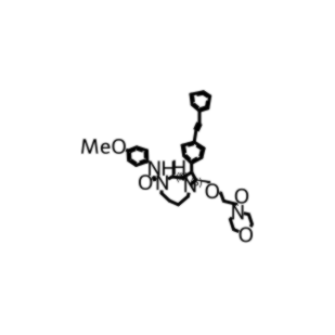 COc1ccc(NC(=O)N2CCCCN3[C@H](COCCC(=O)N4CCOCC4)C(c4ccc(C#Cc5ccccc5)cc4)[C@@H]3C2)cc1